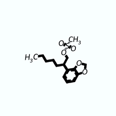 CCCCCC(COS(C)(=O)=O)c1cccc2c1OCO2